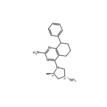 C[C@@H]1C[C@@H](N)CN1c1nc(N)nc2c1CCCC2c1ccccc1